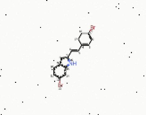 BrC1=CC=C(/C=C/c2cc3ccc(Br)cc3[nH]2)CC1